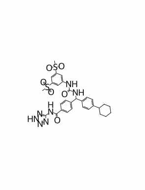 CS(=O)(=O)c1cc(NC(=O)NC(c2ccc(C(=O)Nc3nn[nH]n3)cc2)c2ccc(C3CCCCC3)cc2)cc(S(C)(=O)=O)c1